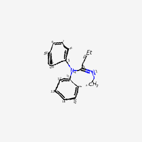 CC/C(=N/C)N(c1ccccc1)c1ccccc1